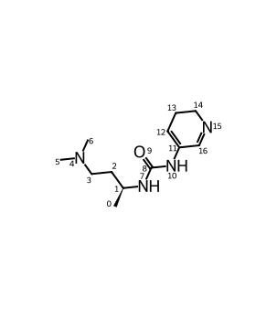 C[C@@H](CCN(C)C)NC(=O)NC1=CCCN=C1